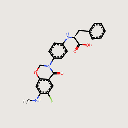 CNc1cc2c(cc1F)C(=O)N(c1ccc(N[C@@H](Cc3ccccc3)C(=O)O)cc1)CO2